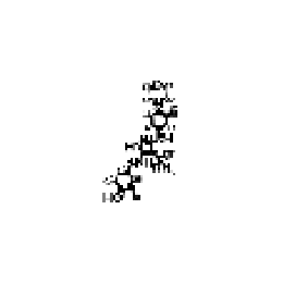 Cc1cc(CNc2[nH]nc(Nc3ccc(N4CCOCC4)c(F)c3)c2C(N)=O)cc(C)c1O